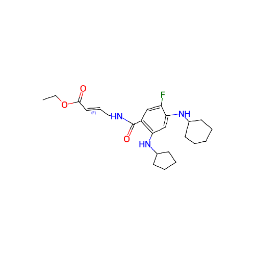 CCOC(=O)/C=C/CNC(=O)c1cc(F)c(NC2CCCCC2)cc1NC1CCCC1